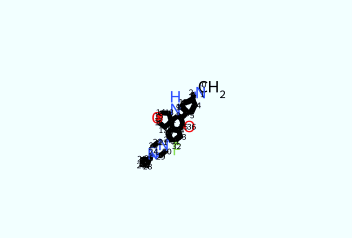 C=NCc1ccc2c3c([nH]c2c1)C1(CCOCC1)c1cc(N2CCN(C4CCC4)CC2)c(F)cc1C3=O